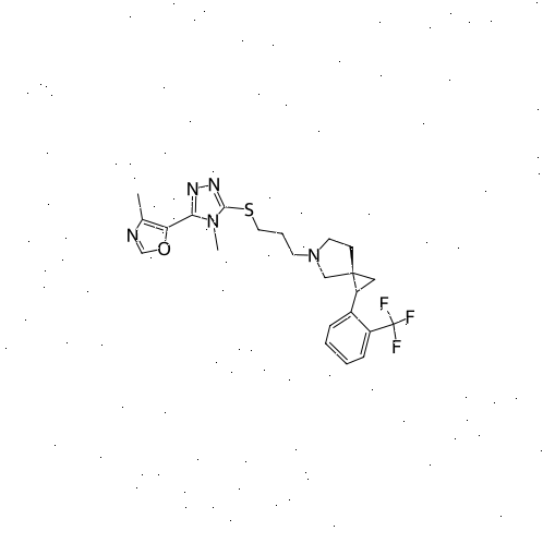 Cc1ncoc1-c1nnc(SCCCN2CC[C@]3(CC3c3ccccc3C(F)(F)F)C2)n1C